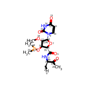 [2H]C[C@@H](NC(=O)[C@H]1O[C@@H](n2ccc(=O)[nH]c2=O)[C@@H](OC)C1OP(C)C)C(C)=O